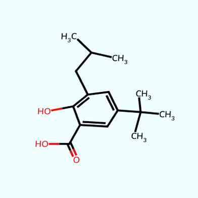 CC(C)Cc1cc(C(C)(C)C)cc(C(=O)O)c1O